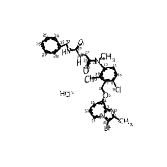 Cc1nc2c(OCc3c(Cl)ccc(N(C)C(=O)CNC(=O)NCc4ccccc4)c3Cl)cccn2c1Br.Cl